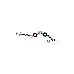 CCCCCCCOc1ccc(-c2nnc(-c3ccc(CCCC(C)C)cc3)s2)cc1